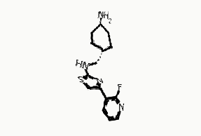 N[C@H]1CC[C@H](CNc2nc(-c3cccnc3F)cs2)CC1